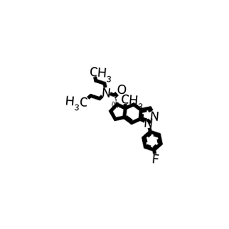 CCCN(CCC)C(=O)[C@H]1CCC2=Cc3c(cnn3-c3ccc(F)cc3)CC21C